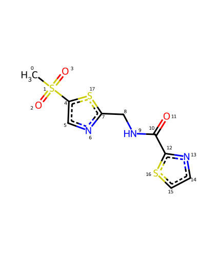 CS(=O)(=O)c1cnc(CNC(=O)c2nccs2)s1